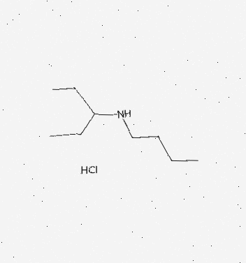 CCCCNC(CC)CC.Cl